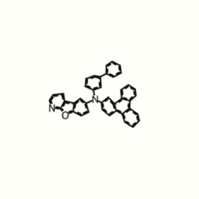 c1ccc(-c2cccc(N(c3ccc4oc5ncccc5c4c3)c3ccc4c5ccccc5c5ccccc5c4c3)c2)cc1